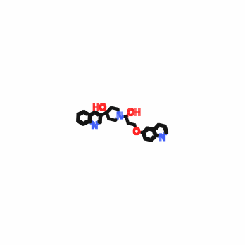 OC(CCOc1ccc2ncccc2c1)N1CCC(O)(c2cnc3ccccc3c2)CC1